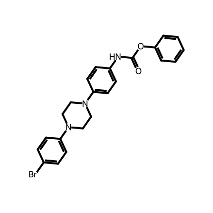 O=C(Nc1ccc(N2CCN(c3ccc(Br)cc3)CC2)cc1)Oc1ccccc1